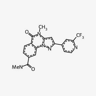 CNC(=O)c1ccc2c(=O)n(C)c3cc(-c4ccnc(C(F)(F)F)c4)nn3c2c1